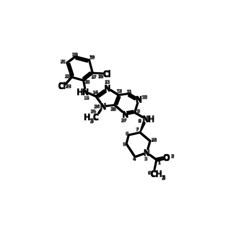 CC(=O)N1CCC[C@@H](Nc2ncc3nc(Nc4c(Cl)cccc4Cl)n(C)c3n2)C1